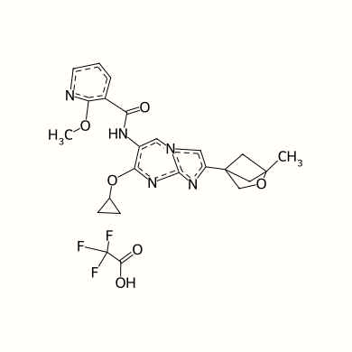 COc1ncccc1C(=O)Nc1cn2cc(C34COC(C)(C3)C4)nc2nc1OC1CC1.O=C(O)C(F)(F)F